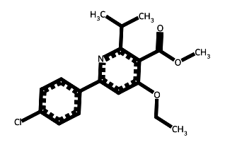 CCOc1cc(-c2ccc(Cl)cc2)nc(C(C)C)c1C(=O)OC